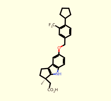 C[C@]1(CC(=O)O)CCc2c1[nH]c1ccc(OCc3ccc(C4CCCC4)c(C(F)(F)F)c3)cc21